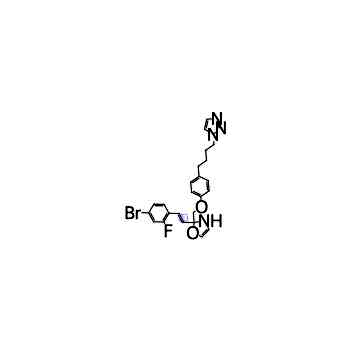 Fc1cc(Br)ccc1/C=C/C1(COc2ccc(CCCCn3ccnn3)cc2)NC=CO1